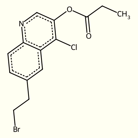 CCC(=O)Oc1cnc2ccc(CCBr)cc2c1Cl